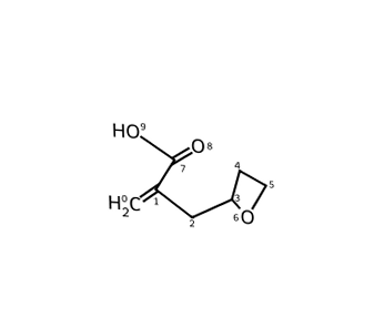 C=C(CC1CCO1)C(=O)O